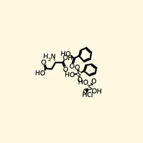 Cl.N[C@@H](CC(=O)O)C(=O)O.O=C(O)c1ccccc1.O=S(=O)(O)O.O=S(=O)(O)c1ccccc1